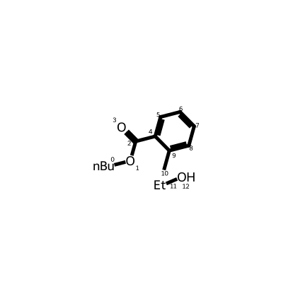 CCCCOC(=O)c1ccccc1C.CCO